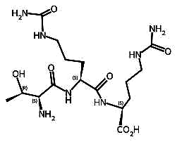 C[C@@H](O)[C@H](N)C(=O)N[C@@H](CCCNC(N)=O)C(=O)N[C@@H](CCCNC(N)=O)C(=O)O